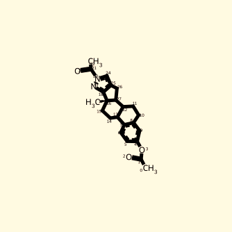 CC(=O)Oc1ccc2c(c1)CCC1C2CC[C@]2(C)c3nn(C(C)=O)cc3CC12